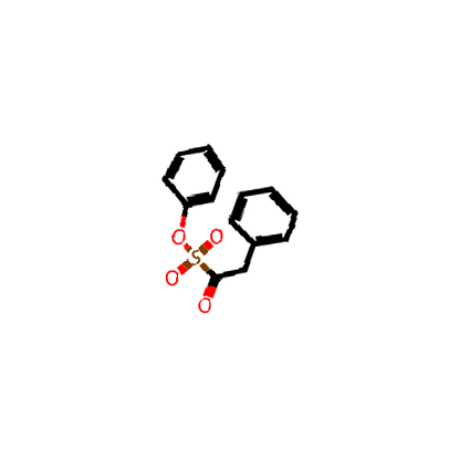 O=C(Cc1ccccc1)S(=O)(=O)Oc1ccccc1